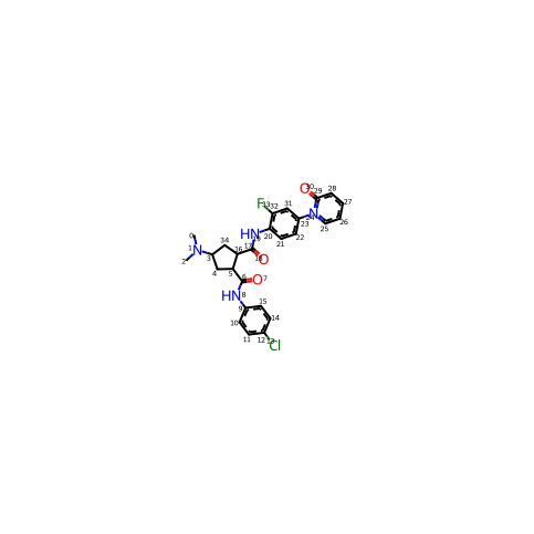 CN(C)C1CC(C(=O)Nc2ccc(Cl)cc2)C(C(=O)Nc2ccc(-n3ccccc3=O)cc2F)C1